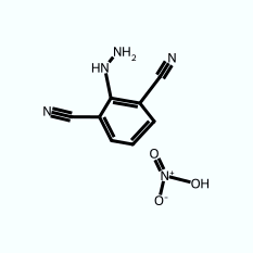 N#Cc1cccc(C#N)c1NN.O=[N+]([O-])O